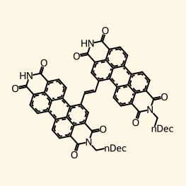 CCCCCCCCCCCN1C(=O)c2ccc3c4ccc5c6c(cc(/C=C/c7cc8c9c(ccc%10c%11ccc%12c%13c(ccc(c7c9%10)c%13%11)C(=O)NC%12=O)C(=O)N(CCCCCCCCCCC)C8=O)c(c7ccc(c2c37)C1=O)c64)C(=O)NC5=O